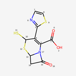 O=C(O)C1=C(c2nccs2)C(S)SC2CC(=O)N12